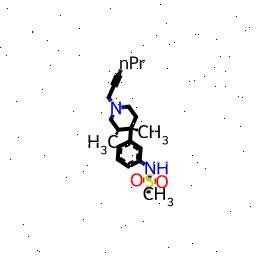 CCCC#CCN1CC[C@](C)(c2cccc(NS(C)(=O)=O)c2)[C@@H](C)C1